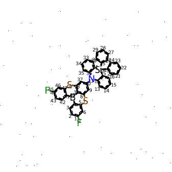 Fc1ccc2c(c1)Sc1cc(N3c4ccccc4[Si](c4ccccc4)(c4ccccc4)c4ccccc43)cc3c1B2c1ccc(F)cc1S3